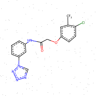 O=C(COc1ccc(Cl)c(C(F)(F)F)c1)Nc1cccc(-n2cnnn2)c1